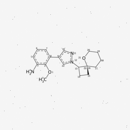 COc1c(N)cccc1-c1cnn(C2CC[C@@]23CCCCO3)c1